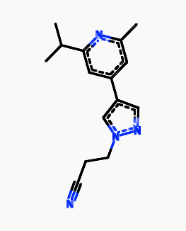 Cc1cc(-c2cnn(CCC#N)c2)cc(C(C)C)n1